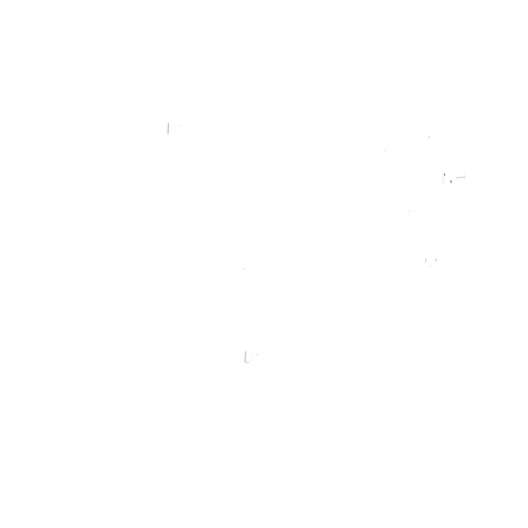 O=C1NC(=S)S/C1=C\c1ccc(Br)cc1Oc1ccccc1Br